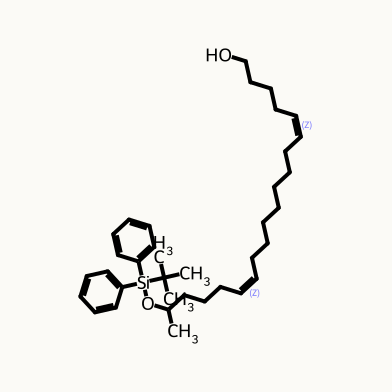 CC(CCC/C=C\CCCCCCC/C=C\CCCCO)O[Si](c1ccccc1)(c1ccccc1)C(C)(C)C